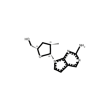 C[C@H]1C[C@@H](CO)O[C@H]1n1ccc2cnc(N)nc21